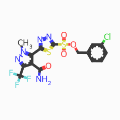 Cn1nc(C(F)(F)F)c(C(N)=O)c1-c1nnc(S(=O)(=O)OCc2cccc(Cl)c2)s1